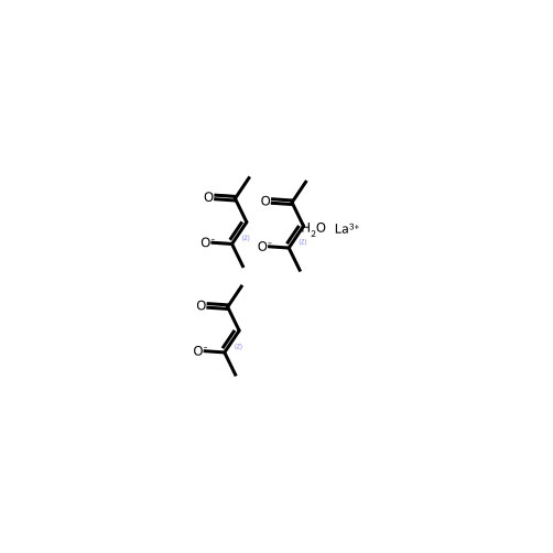 CC(=O)/C=C(/C)[O-].CC(=O)/C=C(/C)[O-].CC(=O)/C=C(/C)[O-].O.[La+3]